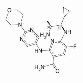 C[C@H](N)[C@H](Nc1nc(Nc2cnc(N3CCOCC3)nc2)c(C(N)=O)cc1F)C1CC1